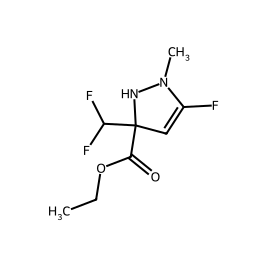 CCOC(=O)C1(C(F)F)C=C(F)N(C)N1